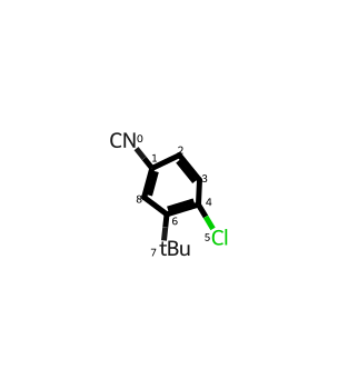 [C-]#[N+]c1ccc(Cl)c(C(C)(C)C)c1